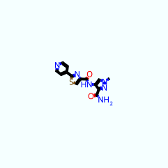 Cn1cc(NC(=O)c2csc(-c3ccncc3)n2)c(C(N)=O)n1